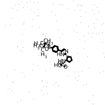 CC1(C)OB(c2ccc(-c3cnc([C@@H]4CCC[C@H]4N[12C](=O)O)[nH]3)cc2)OC1(C)C